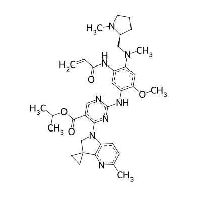 C=CC(=O)Nc1cc(Nc2ncc(C(=O)OC(C)C)c(N3CC4(CC4)c4nc(C)ccc43)n2)c(OC)cc1N(C)C[C@@H]1CCCN1C